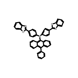 c1ccc(-c2c3ccccc3c(N(c3ccc(-c4nc5ccccc5o4)cc3)c3ccc(-c4nc5ccccc5o4)cc3)c3ccccc23)cc1